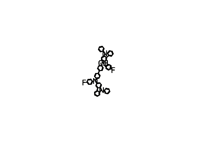 C[C@@]1(N(c2ccc(F)cc2)c2ccc3c(c2)c2ccccc2n3-c2ccccc2)C=CC(c2ccc(N(c3ccc(F)cc3)c3ccc4c(c3)c3ccccc3n4-c3ccccc3)cc2)=CC1